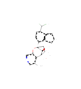 COc1cncc2c1[C@@]1(O)C(=O)[C@](c3ccc(C(F)F)cc3)(O2)[C@H](c2ccccc2)[C@@H]1C(=O)O